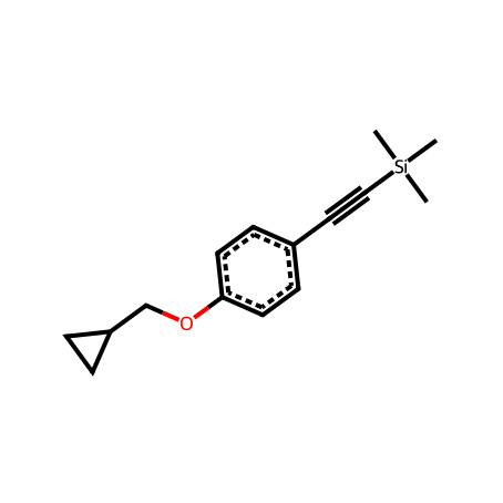 C[Si](C)(C)C#Cc1ccc(OCC2CC2)cc1